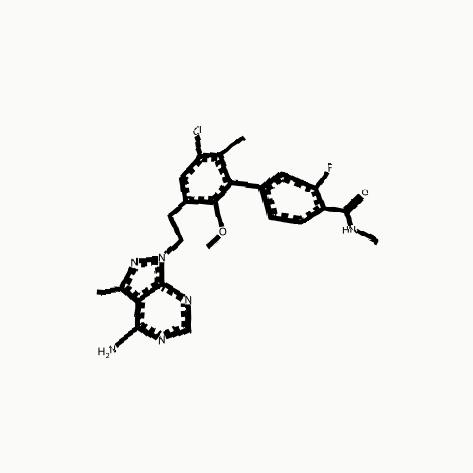 CNC(=O)c1ccc(-c2c(C)c(Cl)cc(CCn3nc(C)c4c(N)ncnc43)c2OC)cc1F